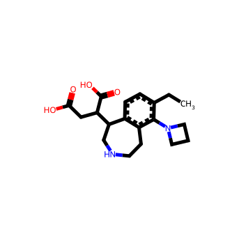 CCc1ccc2c(c1N1CCC1)CCNCC2C(CC(=O)O)C(=O)O